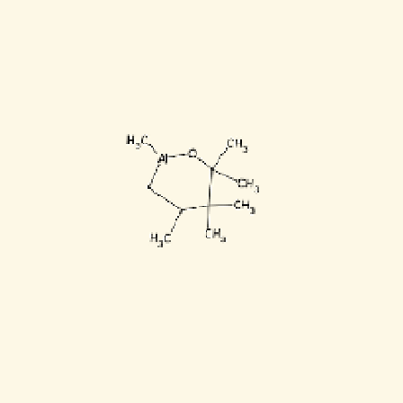 CC1[CH2][Al]([CH3])[O]C(C)(C)C1(C)C